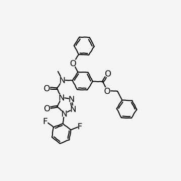 CN(C(=O)n1nnn(-c2c(F)cccc2F)c1=O)c1ccc(C(=O)OCc2ccccc2)cc1Oc1ccccc1